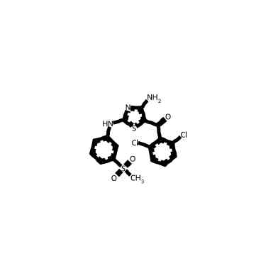 CS(=O)(=O)c1cccc(Nc2nc(N)c(C(=O)c3c(Cl)cccc3Cl)s2)c1